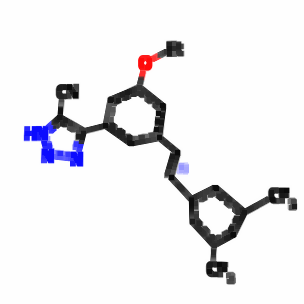 CCOc1cc(/C=C/c2cc(C(F)(F)F)cc(C(F)(F)F)c2)cc(-c2nn[nH]c2C#N)c1